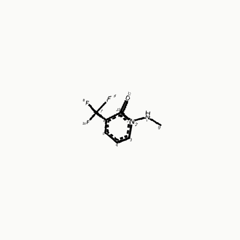 CNn1cccc(C(F)(F)F)c1=O